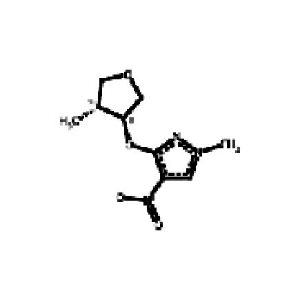 C[C@@H]1COC[C@H]1Oc1nn(C)cc1[N+](=O)[O-]